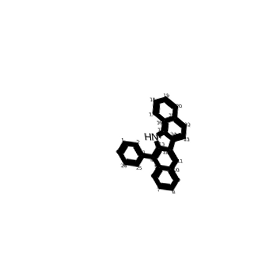 c1ccc(-c2c3ccccc3cc3c2[nH]c2c4ccccc4ccc32)cc1